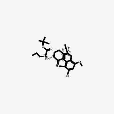 CCC[C@H](N[C@@H]1CC[C@H]2[C@H]3Cc4c(OC)cc(O)c5c4[C@@]2(CCN3C)[C@H]1O5)C(=S)OC(C)(C)C